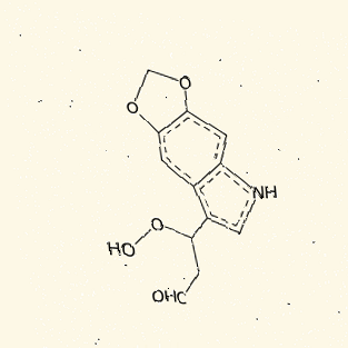 O=CCC(OO)c1c[nH]c2cc3c(cc12)OCO3